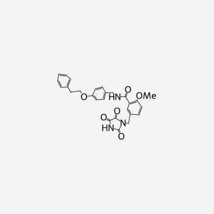 COc1ccc(CN2C(=O)NC(=O)C2=O)cc1C(=O)NCc1ccc(OCCc2ccccc2)cc1